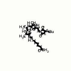 BC(=O)CCCCCSCNC(=O)[C@H](C)NC(=O)[C@@H](C)NC(=O)[C@H](C)NC(=O)CCN1C(=O)CC(SC(C)(C)C)C1=O